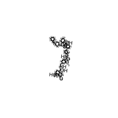 COc1cc(CNCC(O)c2ccc(O)c3[nH]c(=O)ccc23)ccc1C(=O)NCc1ccc(-c2cccc(C(O)(C(=O)OCC3CCN(Cc4ccccc4)CC3)c3ccccc3)c2)s1